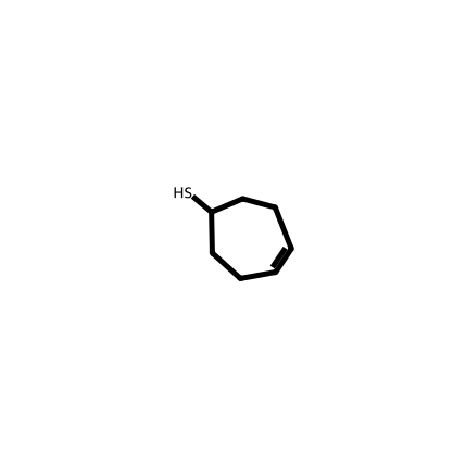 SC1CCC=CCC1